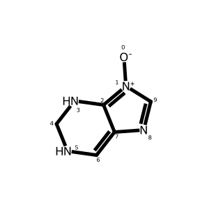 [O-][N+]1=C2NCNC=C2N=C1